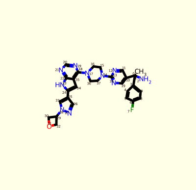 C[C@](N)(c1ccc(F)cc1)c1cnc(N2CCN(c3ncnc4[nH]c(-c5cnn(C6COC6)c5)cc34)CC2)nc1